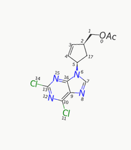 CC(=O)OC[C@@H]1C=C[C@H](n2cnc3c(Cl)nc(Cl)nc32)C1